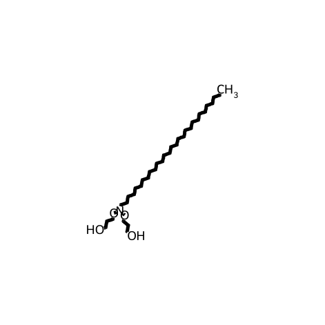 CCCCCCCCCCCCCCCCCCCCCCCCCCCCCN(OCCCO)OCCCO